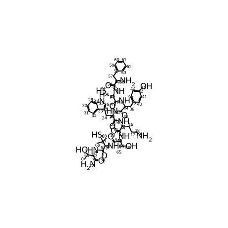 C[C@@H](O)[C@H](NC(=O)[C@@H](NC(=O)[C@@H](NC(=O)[C@H](CCCN)NC(=O)[C@@H](Cc1c[nH]c2ccccc12)NC(=O)[C@H](Cc1ccc(O)cc1)NC(=O)[C@H](CS)NC(=O)[C@H](N)Cc1ccccc1)[C@@H](C)O)C(C)(C)S)C(N)=O